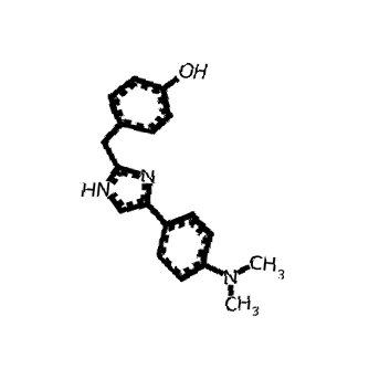 CN(C)c1ccc(-c2c[nH]c(Cc3ccc(O)cc3)n2)cc1